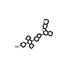 N#Cc1ccc(-c2c3ccccc3c(-c3ccc4cc(-c5cc6ccccc6c6c5sc5cc7ccccc7cc56)ccc4c3)c3ccccc23)cc1